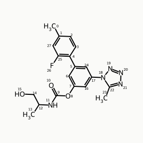 Cc1ccc(-c2cc(OC(=O)NC(C)CO)cc(-n3nnnc3C)c2)c(F)c1